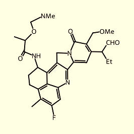 CCC(C=O)c1cc2n(c(=O)c1COC)Cc1c-2nc2cc(F)c(C)c3c2c1C(NC(=O)C(C)OCNC)CC3